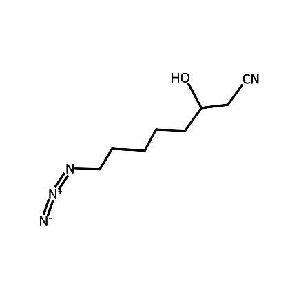 N#CCC(O)CCCCCN=[N+]=[N-]